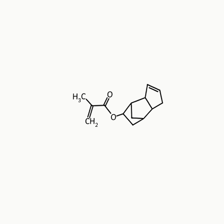 C=C(C)C(=O)OC1CC2CC1C1C=CCC21